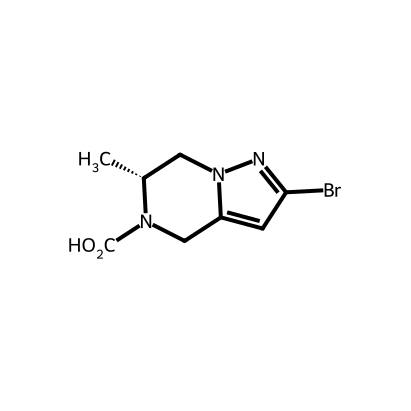 C[C@@H]1Cn2nc(Br)cc2CN1C(=O)O